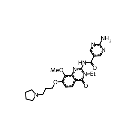 CCn1c(NC(=O)c2cnc(N)nc2)nc2c(OC)c(OCCCN3CCCC3)ccc2c1=O